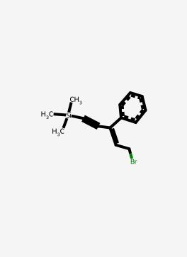 C[Si](C)(C)C#C/C(=C/CBr)c1ccccc1